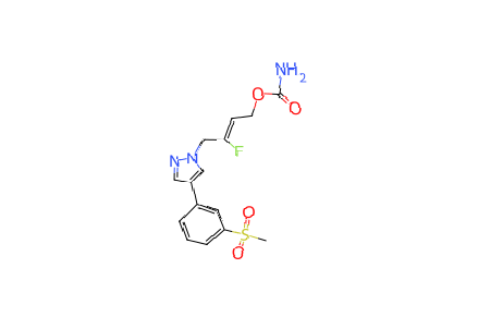 CS(=O)(=O)c1cccc(-c2cnn(C/C(F)=C/COC(N)=O)c2)c1